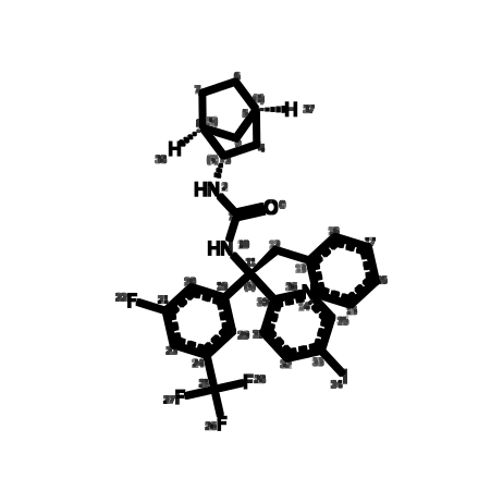 O=C(N[C@H]1C[C@@H]2CC[C@H]1C2)N[C@@](Cc1ccccc1)(c1cc(F)cc(C(F)(F)F)c1)c1ccc(I)cn1